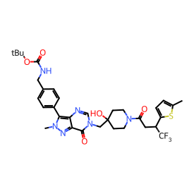 Cc1ccc(C(CC(=O)N2CCC(O)(Cn3cnc4c(-c5ccc(CNC(=O)OC(C)(C)C)cc5)n(C)nc4c3=O)CC2)C(F)(F)F)s1